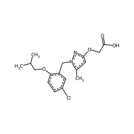 Cc1cc(OCC(=O)O)nn1Cc1cc(Cl)ccc1OCC(C)C